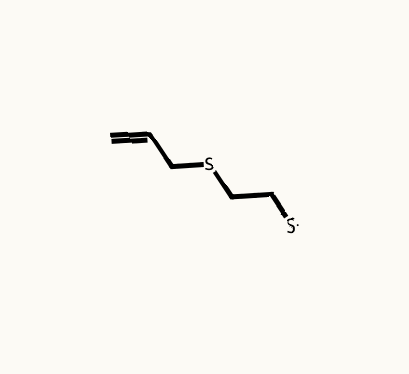 C=CCSCC[S]